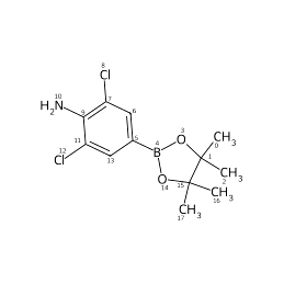 CC1(C)OB(c2cc(Cl)c(N)c(Cl)c2)OC1(C)C